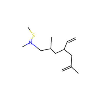 C=CC(CC(=C)C)CC(C)CN(C)SC